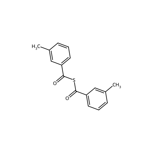 Cc1cccc(C(=O)SC(=O)c2cccc(C)c2)c1